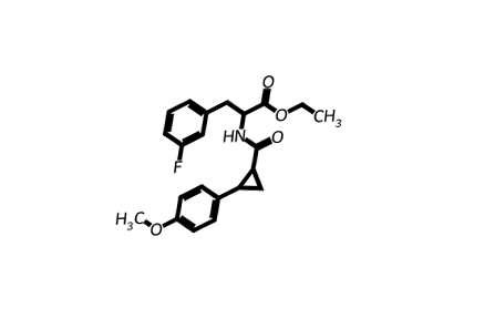 CCOC(=O)C(Cc1cccc(F)c1)NC(=O)C1CC1c1ccc(OC)cc1